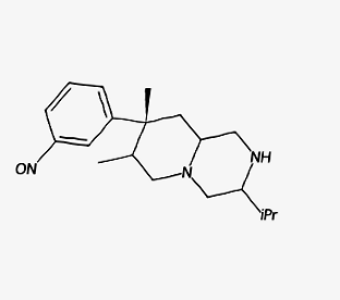 CC(C)C1CN2CC(C)[C@](C)(c3cccc(N=O)c3)CC2CN1